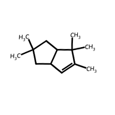 CC1=CC2CC(C)(C)CC2C1(C)C